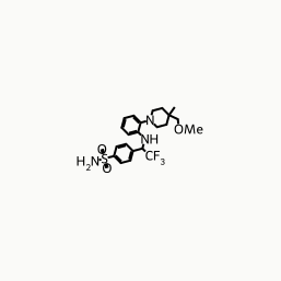 COCC1(C)CCN(c2ccccc2NC(c2ccc(S(N)(=O)=O)cc2)C(F)(F)F)CC1